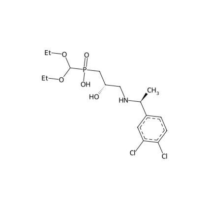 CCOC(OCC)P(=O)(O)C[C@@H](O)CN[C@@H](C)c1ccc(Cl)c(Cl)c1